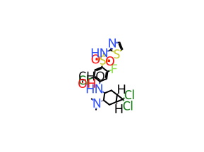 CN(C)[C@H]1C[C@H]2[C@@H](C[C@@H]1Nc1cc(F)c(S(=O)(=O)Nc3nccs3)cc1Cl)C2(Cl)Cl.O=CO